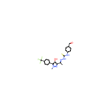 C/C(=N\NC(=S)Nc1ccc(C=O)cc1)c1nn(C)c(-c2ccc(C(F)(F)F)cc2)c1O